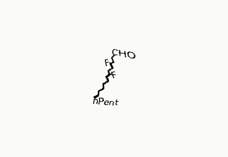 CCCCCC=CCCCCC=C(F)CC=C(F)CCCC=O